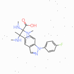 CNC(NC)(C(=O)O)C(C)(NC)c1ccc2c(cnn2-c2ccc(F)cc2)c1